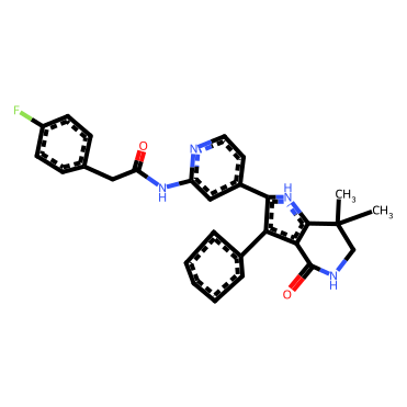 CC1(C)CNC(=O)c2c1[nH]c(-c1ccnc(NC(=O)Cc3ccc(F)cc3)c1)c2-c1ccccc1